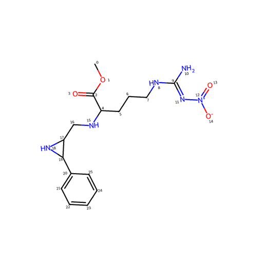 COC(=O)C(CCCNC(N)=N[N+](=O)[O-])NCC1NC1c1ccccc1